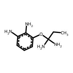 CCC(N)(N)Oc1cccc(N)c1N